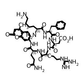 Cc1cc(=O)oc2cc(NC(=O)[C@H](CCC(N)=O)NC(=O)[C@H](CCCNC(=N)N)NC(=O)[C@H](CC(=O)O)NC(=O)[C@H](Cc3ccccc3)NC(=O)[C@@H](N)CCCCN)ccc12